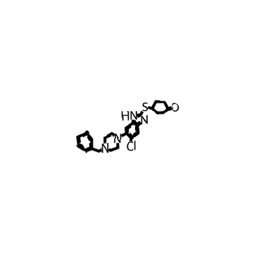 O=C1CCC(Sc2nc3cc(Cl)c(N4CCN(Cc5ccccc5)CC4)cc3[nH]2)CC1